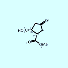 COC(=O)[C@@H]1CC(=O)C[C@@H]1C(=O)O